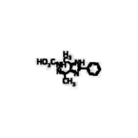 C/C(=N/NC(=O)O)c1nc(-c2ccccc2)[nH]c1C